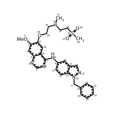 COc1cc2ncnc(Nc3ccc4c(cnn4Cc4ccccc4)c3)c2cc1OCCN(C)CCS(C)(=O)=O